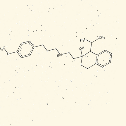 COc1ccc(CCCNCCC2(O)CCc3ccccc3C2C(C)C)cc1